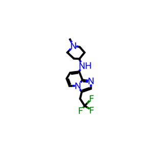 CN1CCC(Nc2cccn3c(CC(F)(F)F)cnc23)CC1